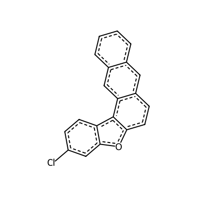 Clc1ccc2c(c1)oc1ccc3cc4ccccc4cc3c12